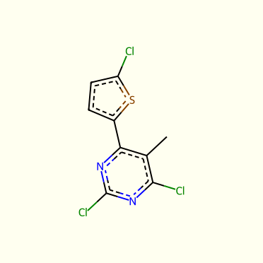 Cc1c(Cl)nc(Cl)nc1-c1ccc(Cl)s1